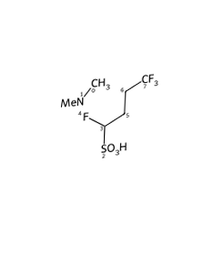 CNC.O=S(=O)(O)C(F)CCC(F)(F)F